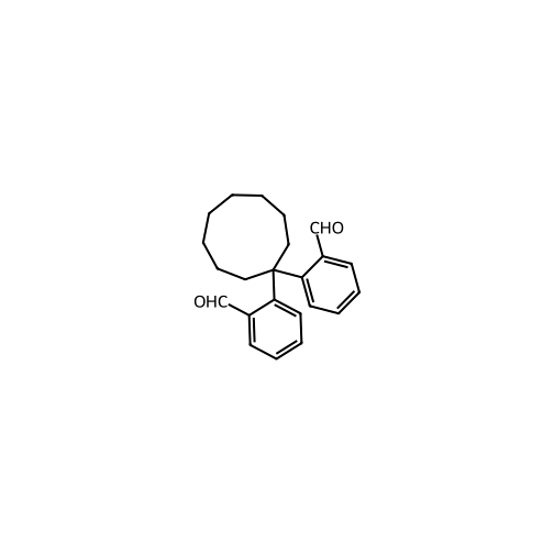 O=Cc1ccccc1C1(c2ccccc2C=O)CCCCCCCC1